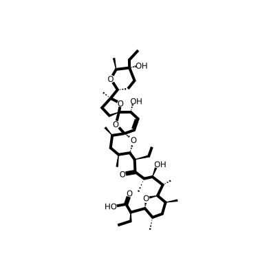 CC[C@@H](C(=O)O)[C@@H]1O[C@@H]([C@@H](C)[C@H](O)[C@H](C)C(=O)[C@H](CC)[C@H]2O[C@]3(C=C[C@@H](O)[C@]4(CC[C@@](C)([C@H]5CC[C@](O)(CC)[C@H](C)O5)O4)O3)[C@H](C)C[C@@H]2C)[C@@H](C)C[C@@H]1C